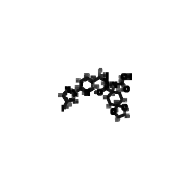 CC(NC(=O)C1(NC(=O)O)CCC2(CC1)OCCO2)c1ccc(-n2cc(F)cn2)nc1